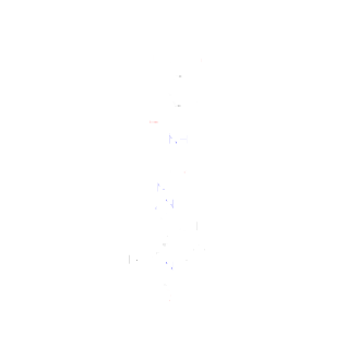 C[C@@]1(/C=N/NC(=O)CNC(=O)c2ccc(O)c(O)c2Cl)S[C@@H]2CC(=O)N2[C@H]1C(=O)O